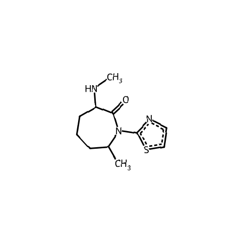 CNC1CCCC(C)N(c2nccs2)C1=O